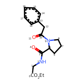 CCOC(=O)CNC(=O)C1CCCN1C(=O)Cc1ccccc1